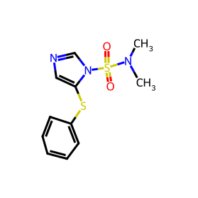 CN(C)S(=O)(=O)n1cncc1Sc1ccccc1